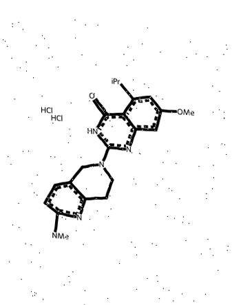 CNc1ccc2c(n1)CCN(c1nc3cc(OC)cc(C(C)C)c3c(=O)[nH]1)C2.Cl.Cl